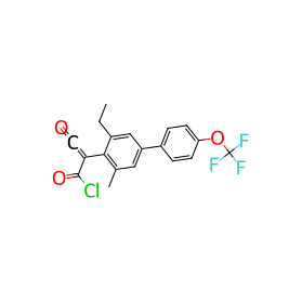 CCc1cc(-c2ccc(OC(F)(F)F)cc2)cc(C)c1C(=C=O)C(=O)Cl